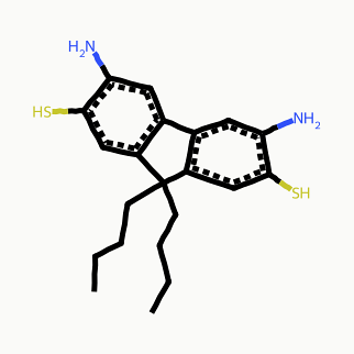 CCCCC1(CCCC)c2cc(S)c(N)cc2-c2cc(N)c(S)cc21